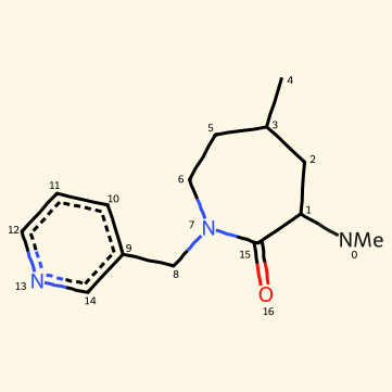 CNC1CC(C)CCN(Cc2cccnc2)C1=O